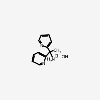 CC(N)(c1ccccn1)c1ccccn1.Cl.Cl